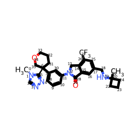 Cn1cnnc1[C@]1(c2cccc(N3Cc4c(cc(CNC5(C)CCC5)cc4C(F)(F)F)C3=O)c2)CCCOC1